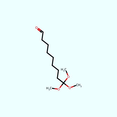 COC(CCCCCCCC=O)(OC)OC